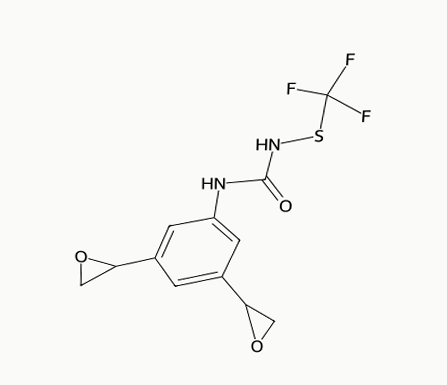 O=C(NSC(F)(F)F)Nc1cc(C2CO2)cc(C2CO2)c1